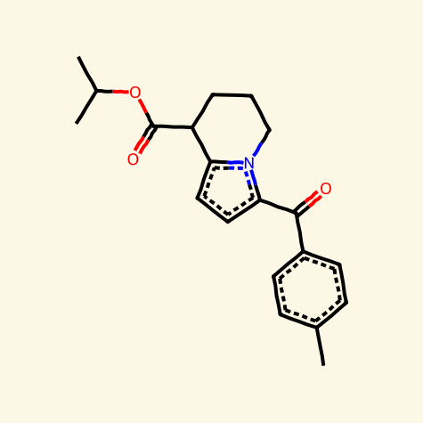 Cc1ccc(C(=O)c2ccc3n2CCCC3C(=O)OC(C)C)cc1